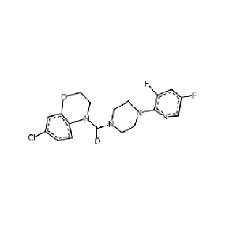 O=C(N1CCN(c2ncc(F)cc2F)CC1)N1CCOc2cc(Cl)ccc21